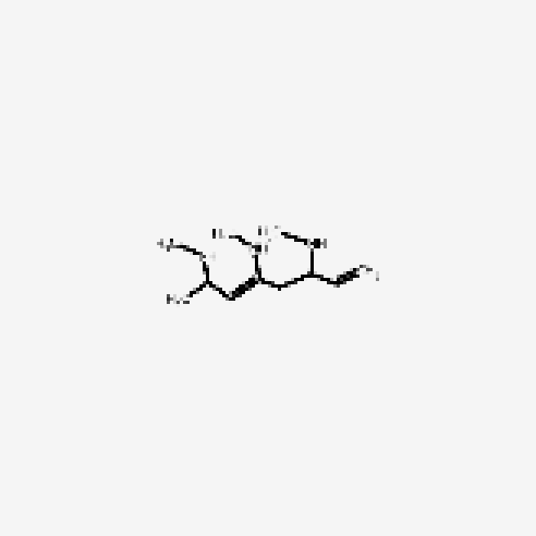 C=CC(CC(=CC(C)NC)NC)NC